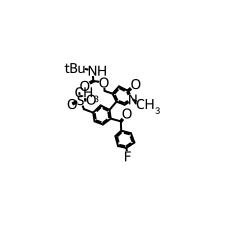 Cn1cc(-c2cc(CS(C)(=O)=O)ccc2C(=O)c2ccc(F)cc2)c(COC(=O)NC(C)(C)C)cc1=O